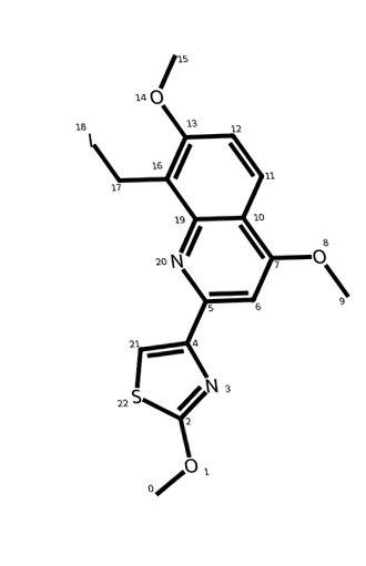 COc1nc(-c2cc(OC)c3ccc(OC)c(CI)c3n2)cs1